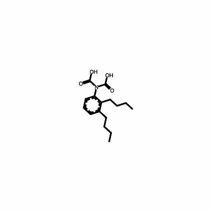 CCCCc1cccc(N(C(=O)O)C(=O)O)c1CCCC